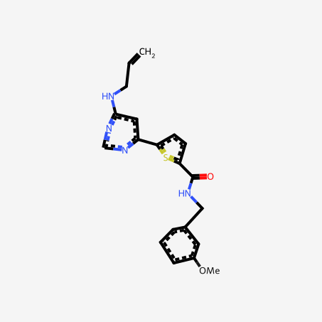 C=CCNc1cc(-c2ccc(C(=O)NCc3cccc(OC)c3)s2)ncn1